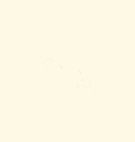 COc1ccc(CN(CCO)CCCC(C)Nc2ccnc3cc(Cl)ccc23)cc1F